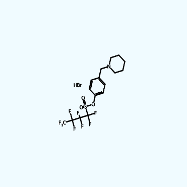 Br.O=S(=O)(Oc1ccc(CN2CCCCC2)cc1)C(F)(F)C(F)(F)C(F)(F)C(F)(F)F